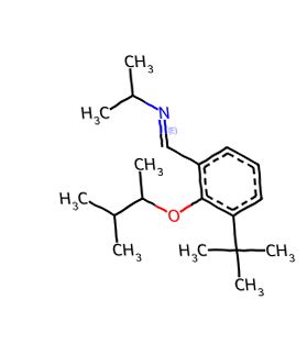 CC(C)/N=C/c1cccc(C(C)(C)C)c1OC(C)C(C)C